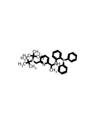 CC(Nc1ccccc1P(c1ccccc1)c1ccccc1)c1cccc(CP(C(C)(C)C)C(C)(C)C)n1